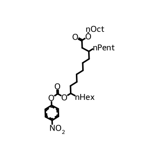 CCCCCCCCOC(=O)CC(CCCCC)CCCCCCC(CCCCCC)OC(=O)Oc1ccc([N+](=O)[O-])cc1